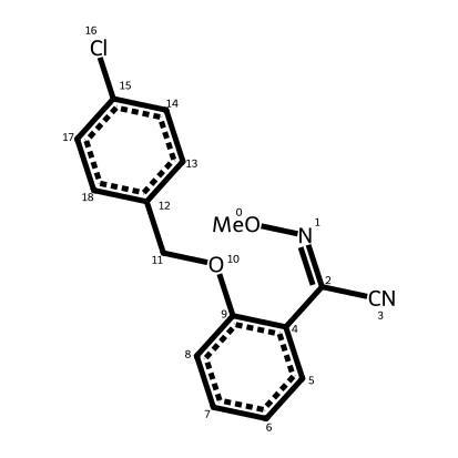 CO/N=C(/C#N)c1ccccc1OCc1ccc(Cl)cc1